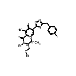 CCOC[C@@H]1[C@@H](C)n2cc(-c3nnc(Cc4ccc(F)cc4)s3)c(=O)c(O)c2C(=O)N1CC